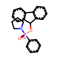 O=[P@](OC1c2ccccc2-c2ccccc21)(c1ccccc1)N1CCCC1